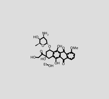 CCO.COc1cccc2c1C(=O)c1c(O)c3c(c(O)c1C2=O)C[C@@](O)(C(=O)CO)C[C@@H]3O[C@H]1C[C@H](N)[C@H](O)[C@H](C)O1